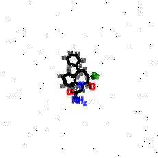 NC(=O)CN1C(=O)C(Br)CC(C2CCCCC2)c2ccccc21